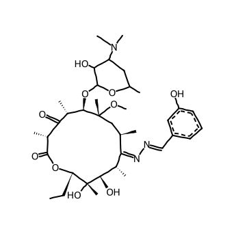 CC[C@H]1OC(=O)[C@H](C)C(=O)[C@H](C)[C@@H](OC2OC(C)CC(N(C)C)C2O)[C@](C)(OC)C[C@@H](C)/C(=N\N=C\c2cccc(O)c2)[C@H](C)[C@@H](O)[C@]1(C)O